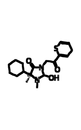 CN1C(O)N(CC(=O)C2=CCC=CS2)C(=O)[C@]1(C)C1CCCCC1